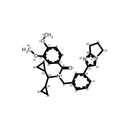 COc1ccc(C(=O)N(Cc2cccc(-c3cn4c(n3)CCC4)c2)C(C2CC2)C2CC2)cc1OC